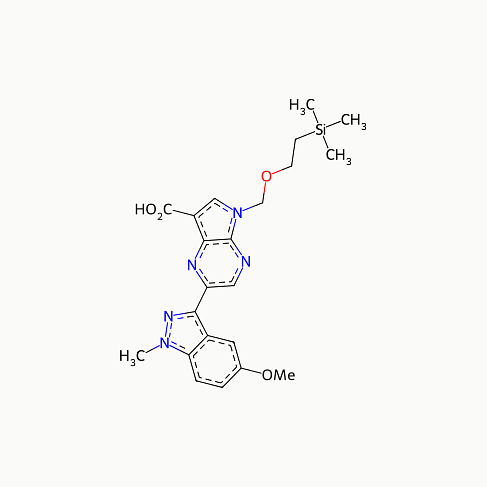 COc1ccc2c(c1)c(-c1cnc3c(n1)c(C(=O)O)cn3COCC[Si](C)(C)C)nn2C